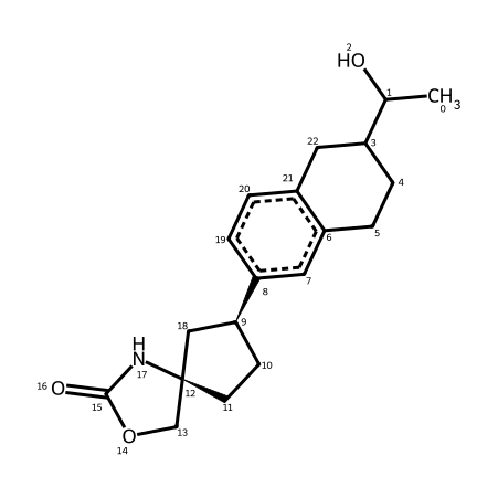 CC(O)C1CCc2cc([C@H]3CC[C@]4(COC(=O)N4)C3)ccc2C1